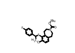 CC(Sc1c(Cl)ccc2c1CCN(C(=O)OC(C)(C)C)CC2)c1ccc(F)cc1